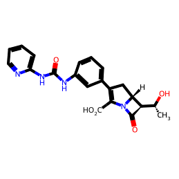 C[C@@H](O)[C@H]1C(=O)N2C(C(=O)O)=C(c3cccc(NC(=O)Nc4ccccn4)c3)C[C@H]12